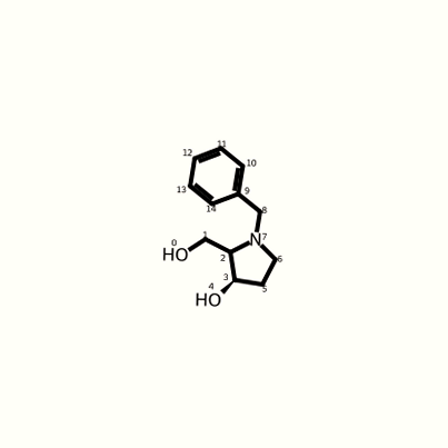 OCC1[C@H](O)CCN1Cc1ccccc1